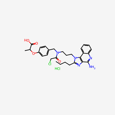 CCCCc1nc2c(N)nc3ccccc3c2n1CCCN(Cc1ccc(OC(C)C(=O)O)cc1)C(=O)CCl.Cl